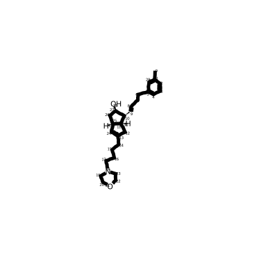 Cc1cccc(CC/C=C/[C@@H]2[C@H]3CC(CCCCN4CCOCC4)=C[C@H]3C[C@H]2O)c1